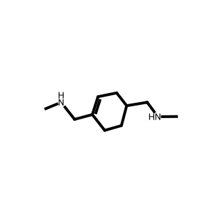 CNCC1=CCC(CNC)CC1